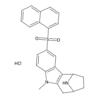 Cl.Cn1c2c(c3cc(S(=O)(=O)c4cccc5ccccc45)ccc31)C1CCC(C2)N1